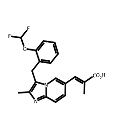 CC(=Cc1ccc2nc(C)c(Cc3ccccc3OC(F)F)n2c1)C(=O)O